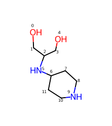 OCC(CO)NC1CCNCC1